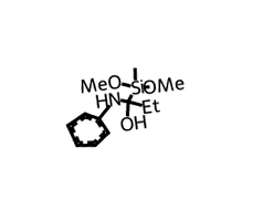 CCC(O)(Nc1ccccc1)[Si](C)(OC)OC